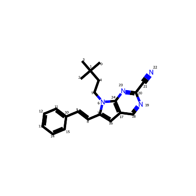 CC(C)(C)CCn1c(C=Cc2ccccc2)cc2cnc(C#N)nc21